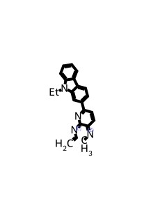 C=C/N=C1/N=C(c2ccc3c4ccccc4n(CC)c3c2)C=C/C1=N/C